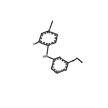 CCc1cccc(Nc2ccc(C)cc2F)c1